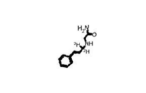 [2H]C([2H])(/C=C/c1ccccc1)NCC(N)=O